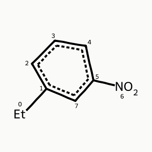 CCc1cccc([N+](=O)[O-])c1